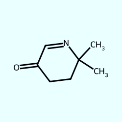 CC1(C)CCC(=O)C=N1